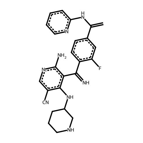 C=C(Nc1ccccn1)c1ccc(C(=N)c2c(N)ncc(C#N)c2NC2CCCNC2)c(F)c1